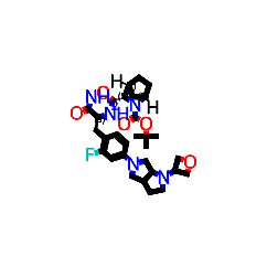 CC(C)(C)OC(=O)N1[C@@H]2CC[C@@H](C2)[C@H]1C(=O)N[C@@H](Cc1ccc(N2CC3CCN(C4COC4)C3C2)cc1F)C(N)=O